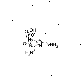 NCCn1cc2c(n1)C(CN)N1CC2N(OS(=O)(=O)O)C1=O